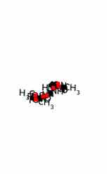 Cc1nc(-c2ccc3ccnc(N[C@H]4C[C@@H](C(=O)Nc5nc(C)c(C(=O)O[C@H](C)C(F)(F)F)s5)C4)c3c2)no1